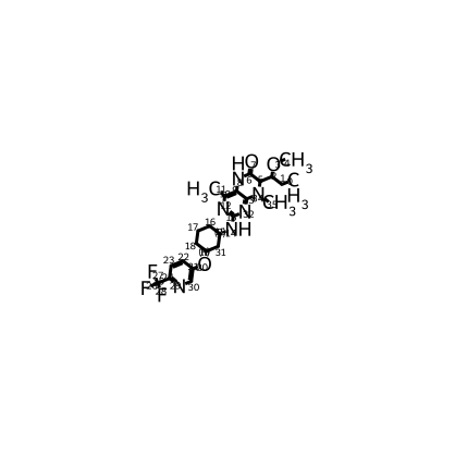 CCC(OC)C1C(=O)Nc2c(C)nc(N[C@@H]3CCC[C@@H](Oc4ccc(C(F)(F)F)nc4)C3)nc2N1C